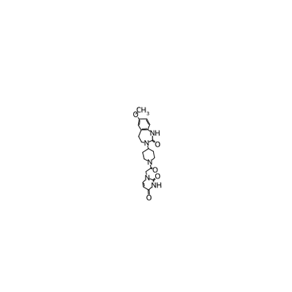 COc1ccc2c(c1)CCN(C1CCN(C(=O)Cn3ccc(=O)[nH]c3=O)CC1)C(=O)N2